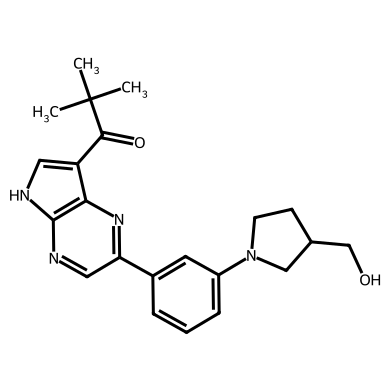 CC(C)(C)C(=O)c1c[nH]c2ncc(-c3cccc(N4CCC(CO)C4)c3)nc12